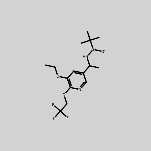 CCOc1cc(C(C)N[S+]([O-])C(C)(C)C)cnc1OCC(F)(F)F